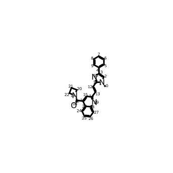 Cn1cc(-c2ccccc2)nc1/C=C/c1cc(C(=O)N2CCC2)c2ccccc2n1